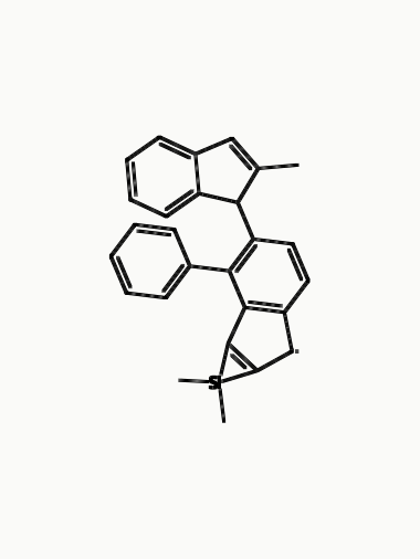 CC1=Cc2ccccc2C1c1ccc2c(c1-c1ccccc1)C1=C([CH]2)[Si]1(C)C